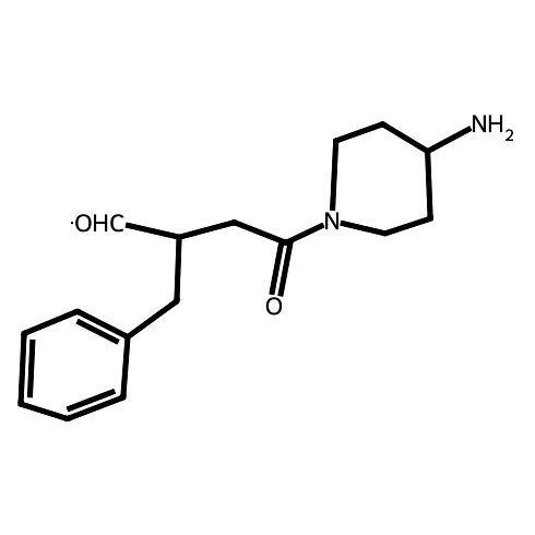 NC1CCN(C(=O)CC([C]=O)Cc2ccccc2)CC1